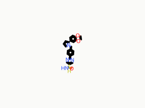 N=[SH](=O)c1cnc(-c2ccc(CN3CCC[C@H]3c3ccc4c(c3)OCCO4)cc2)nc1